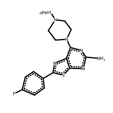 CCCCCN1CCN(c2nc(N)nc3sc(-c4ccc(F)cc4)nc23)CC1